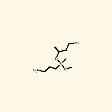 CO[Si](C)(CCCN)OC(C)CCN